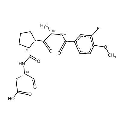 COc1ccc(C(=O)N[C@@H](C)C(=O)N2CCC[C@H]2C(=O)N[C@H](C=O)CC(=O)O)cc1F